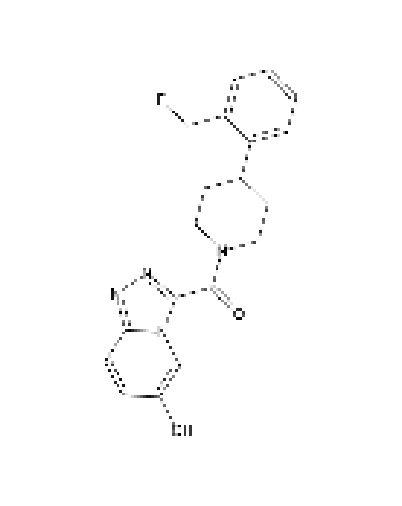 O=C(c1nnc2ccc(O)cn12)N1CCC(c2ccccc2CF)CC1